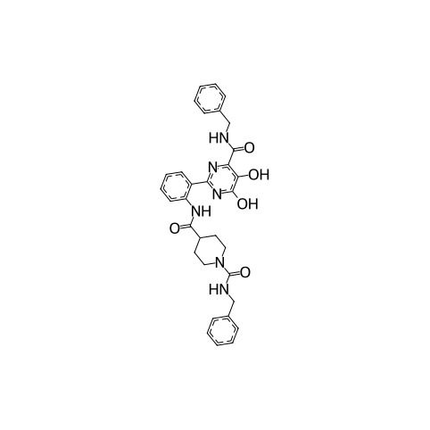 O=C(NCc1ccccc1)c1nc(-c2ccccc2NC(=O)C2CCN(C(=O)NCc3ccccc3)CC2)nc(O)c1O